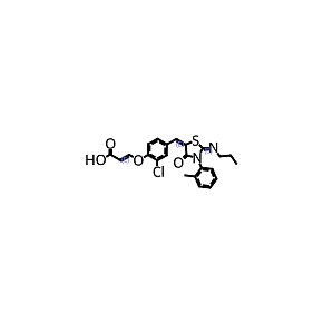 CCC/N=C1/S/C(=C/c2ccc(O/C=C/C(=O)O)c(Cl)c2)C(=O)N1c1ccccc1C